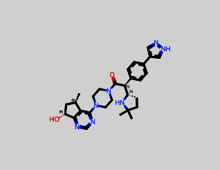 C[C@@H]1C[C@@H](O)c2ncnc(N3CCN(C(=O)[C@@H](c4ccc(-c5cn[nH]c5)cc4)[C@@H]4CCC(C)(C)N4)CC3)c21